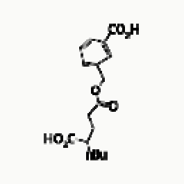 CCCCC(CCC(=O)OCc1cccc(C(=O)O)c1)C(=O)O